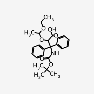 CCOC(C)OC(C(=O)O)C(NC(=O)OC(C)(C)C)(c1ccccc1)c1ccccc1